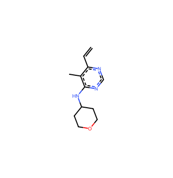 C=Cc1ncnc(NC2CCOCC2)c1C